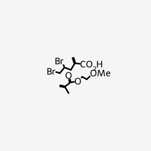 C=C(C)C(=O)OCCOC.C=C(CC(Br)CBr)C(=O)O